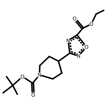 CCOC(=O)c1nc(C2CCN(C(=O)OC(C)(C)C)CC2)no1